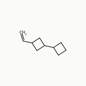 C=CC1CC(C2CCC2)C1